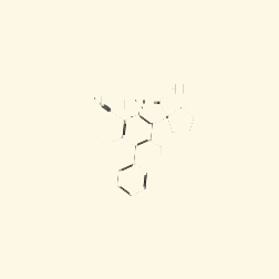 Cc1c(C#N)c(N)c(C2(C(=O)O)CCCC2)c(F)c1-c1ccccc1